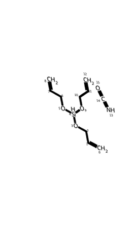 C=CCO[SiH](OCC=C)OCC=C.N=C=O